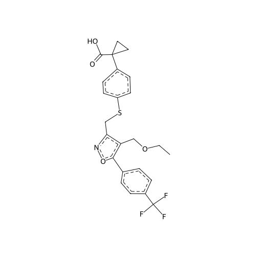 CCOCc1c(CSc2ccc(C3(C(=O)O)CC3)cc2)noc1-c1ccc(C(F)(F)F)cc1